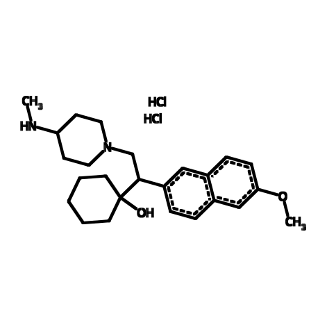 CNC1CCN(CC(c2ccc3cc(OC)ccc3c2)C2(O)CCCCC2)CC1.Cl.Cl